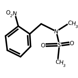 CN(Cc1ccccc1[N+](=O)[O-])S(C)(=O)=O